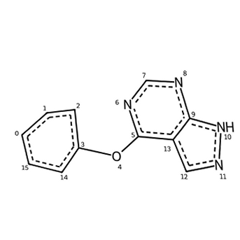 c1ccc(Oc2ncnc3[nH]ncc23)cc1